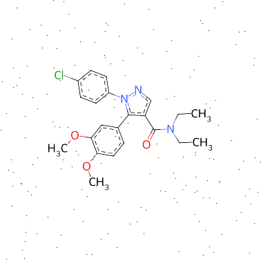 CCN(CC)C(=O)c1cnn(-c2ccc(Cl)cc2)c1-c1ccc(OC)c(OC)c1